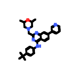 CC1CN(Cc2nc(Nc3ccc(C(C)(C)C)cc3)c3ccc(-c4cccnc4)cc3n2)CC(C)O1